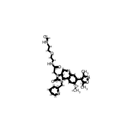 COc1cc2c(cc1-c1c(C)noc1C)ncc1c2n(Cc2ccccn2)c(=O)n1CC(=O)NCCOCCNC=O